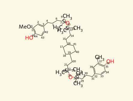 COc1cc(CCC[Si](C)(C)O[Si](C)(C)CCC2CCC(CC[Si](C)(C)O[Si](C)(C)CCCc3ccc(O)c(C)c3)CC2)ccc1O